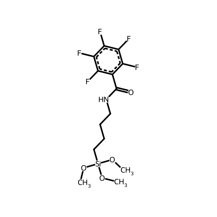 CO[Si](CCCCNC(=O)c1c(F)c(F)c(F)c(F)c1F)(OC)OC